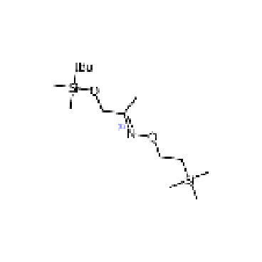 C/C(CO[Si](C)(C)C(C)(C)C)=N\OCC[Si](C)(C)C